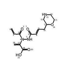 C=CC(=O)N(NC(=O)C=CCC1CNCCO1)C(=C)C(=O)O